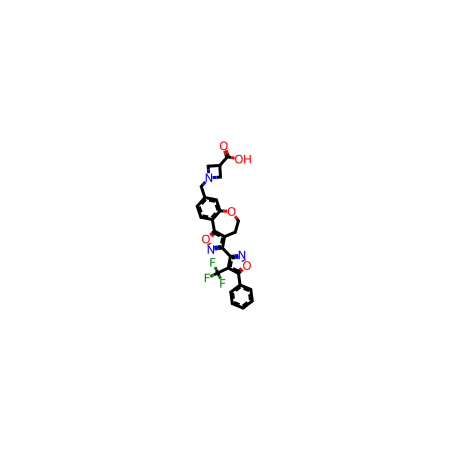 O=C(O)C1CN(Cc2ccc3c(c2)OCCc2c(-c4noc(-c5ccccc5)c4C(F)(F)F)noc2-3)C1